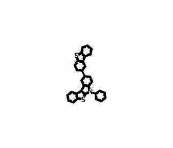 c1ccc(-n2c3ccc(-c4ccc5sc6ccccc6c5c4)cc3c3c4ccccc4sc32)cc1